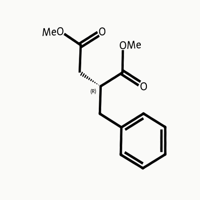 COC(=O)C[C@@H](Cc1ccccc1)C(=O)OC